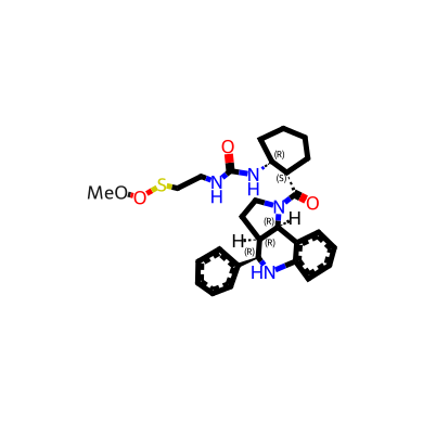 COOSCCNC(=O)N[C@@H]1CCCC[C@@H]1C(=O)N1CC[C@@H]2[C@H](c3ccccc3)Nc3ccccc3[C@@H]21